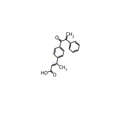 C=C(C(=O)c1ccc(/C(C)=C/C(=O)O)cc1)c1ccccc1